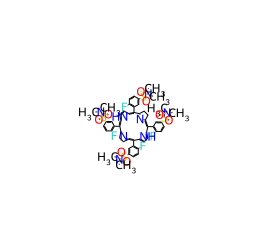 CN(C)S(=O)(=O)c1ccc(F)c(-c2c3nc(c(-c4cc(S(=O)(=O)N(C)C)ccc4F)c4ccc([nH]4)c(-c4cc(S(=O)(=O)N(C)C)ccc4F)c4nc(c(-c5cc(S(=O)(=O)N(C)C)ccc5F)c5ccc2[nH]5)CC4)CC3)c1